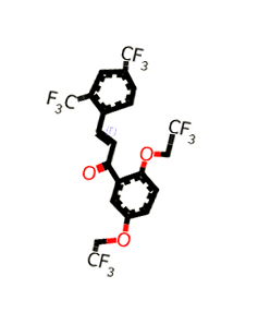 O=C(/C=C/c1ccc(C(F)(F)F)cc1C(F)(F)F)c1cc(OCC(F)(F)F)ccc1OCC(F)(F)F